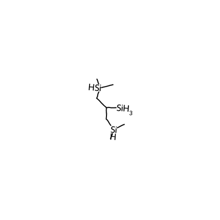 C[SiH](C)CC([SiH3])C[SiH](C)C